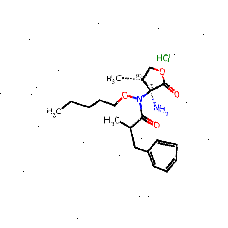 CCCCCON(C(=O)C(C)Cc1ccccc1)[C@]1(N)C(=O)OC[C@H]1C.Cl